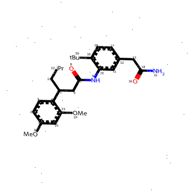 COc1ccc(C(CC(=O)Nc2cc(CC(N)=O)ccc2C(C)(C)C)CC(C)C)c(OC)c1